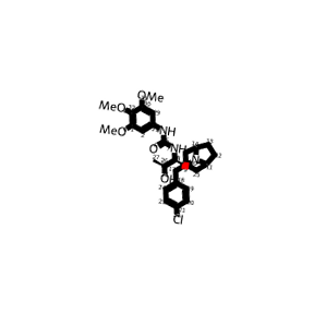 COc1cc(NC(=O)N[C@@H](CN2C3CCC2CC(Cc2ccc(Cl)cc2)C3)[C@H](C)O)cc(OC)c1OC